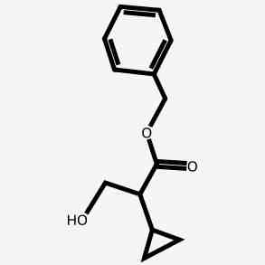 O=C(OCc1ccccc1)C(CO)C1CC1